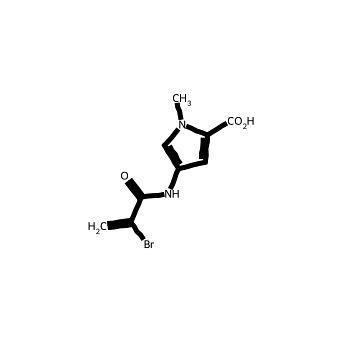 C=C(Br)C(=O)Nc1cc(C(=O)O)n(C)c1